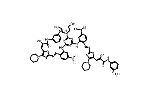 CCN(CC)c1ccc(/N=N/c2nc(N3CCCCC3)c(C=C(C(C)=O)C(=O)Nc3cccc(S(=O)(=O)O)c3)s2)c(Nc2nc(Nc3cc(N(CC)CC)ccc3/N=N/c3nc(N4CCCCC4)c(/C=C(\C(C)=O)C(=O)Nc4cccc(S(=O)(=O)O)c4)s3)nc(N(CCO)CCO)n2)c1